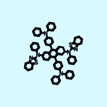 C1=c2c(-c3ccc(N(c4ccccc4)c4ccccc4)cc3)c3ccc(N(c4ccccc4)c4nc5ccccc5s4)cc3c(-c3ccc(N(c4ccccc4)c4ccccc4)cc3)c2=CCC1N(c1ccccc1)c1nc2ccccc2s1